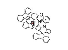 c1ccc2c(c1)-c1ccccc1C21c2ccccc2N2c3c1cccc3[N+]13c4c(ccc5c4-n4c6c(cccc6c6ccc[n+]1c64)[Si]51c4ccccc4-c4ccccc41)Oc1cccc2[n+]13